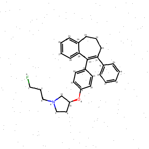 FCCCN1CC[C@H](Oc2ccc(C3=C(c4ccccc4)CCCc4c[c]ccc43)cc2)C1